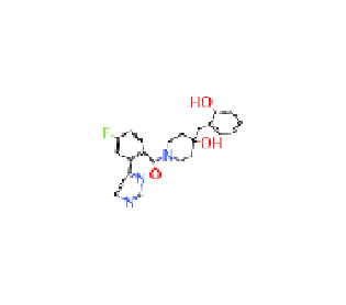 O=C(c1ccc(F)cc1-c1ccncn1)N1CCC(O)(Cc2ccccc2O)CC1